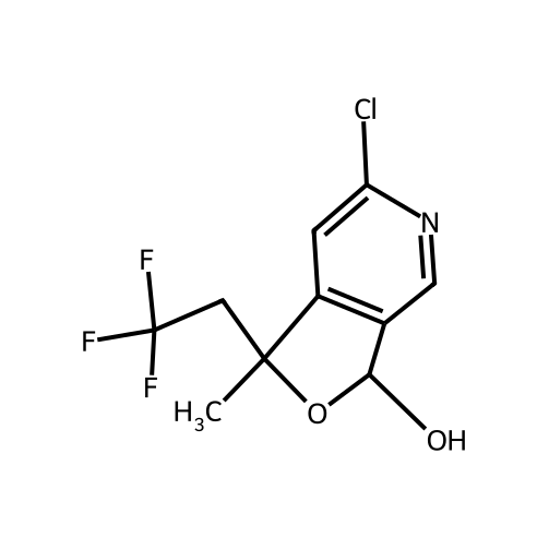 CC1(CC(F)(F)F)OC(O)c2cnc(Cl)cc21